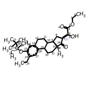 CCOC(=O)/C(O)=C1\CC2C3CCc4cc(O[Si](C)(C)C(C)(C)C)c(CC)cc4C3CC[C@]2(C)C1=O